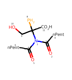 CCCCCC(=O)N(C(=O)CCCCC)C(P)(CO)C(=O)O